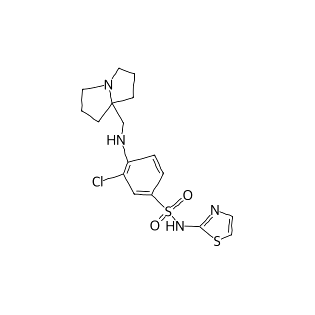 O=S(=O)(Nc1nccs1)c1ccc(NCC23CCCN2CCC3)c(Cl)c1